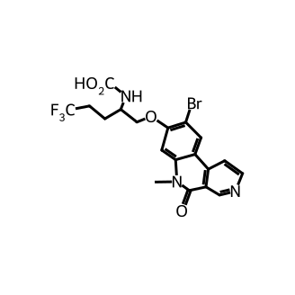 Cn1c(=O)c2cnccc2c2cc(Br)c(OCC(CCC(F)(F)F)NC(=O)O)cc21